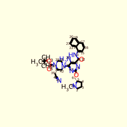 CN1CCC[C@H]1COc1nc(C(=O)Nc2cccc3ccccc23)c(N)c(N2CCN(C(=O)OC(C)(C)C)[C@@H](CC#N)C2)n1